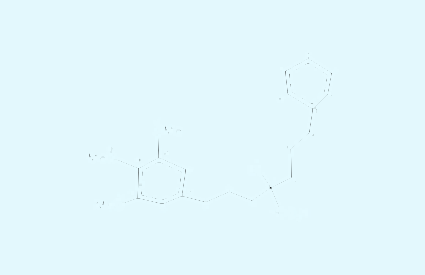 CCC(CCCc1ccccc1)(CCCc1cc(OC)c(OC)c(OC)c1)C(=O)O